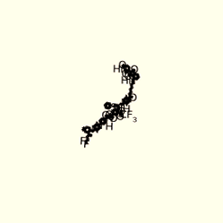 C=C(CCC(F)F)C1=C(CN2CCN(c3ccc(C(=O)NS(=O)(=O)c4ccc(N[C@H](CCN5CCN(C(=O)CCCCCCNc6cccc7c6C(=O)N(C6CCC(=O)NC6=O)C7=O)CC5)CSc5ccccc5)c(S(=O)(=O)C(F)(F)F)c4)cc3)CC2)CCC(C)(C)C1